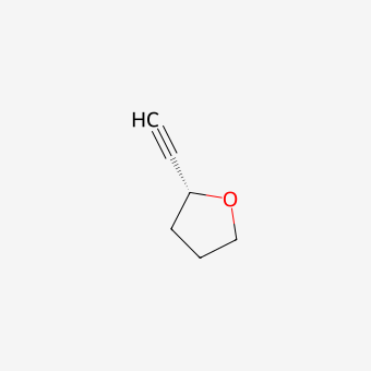 C#C[C@H]1CCCO1